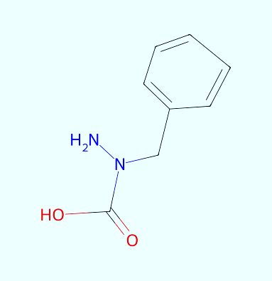 NN(Cc1ccccc1)C(=O)O